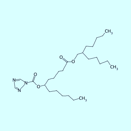 CCCCCCC(CCCCC(=O)OCC(CCCCC)CCCCC)OC(=O)n1cncn1